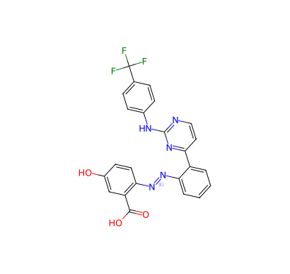 O=C(O)c1cc(O)ccc1/N=N/c1ccccc1-c1ccnc(Nc2ccc(C(F)(F)F)cc2)n1